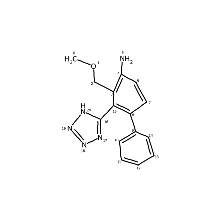 COCc1c(N)ccc(-c2ccccc2)c1-c1nnn[nH]1